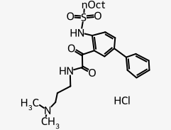 CCCCCCCCS(=O)(=O)Nc1ccc(-c2ccccc2)cc1C(=O)C(=O)NCCCN(C)C.Cl